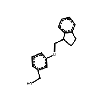 OCc1cccc(OCC2CCc3ccccc32)c1